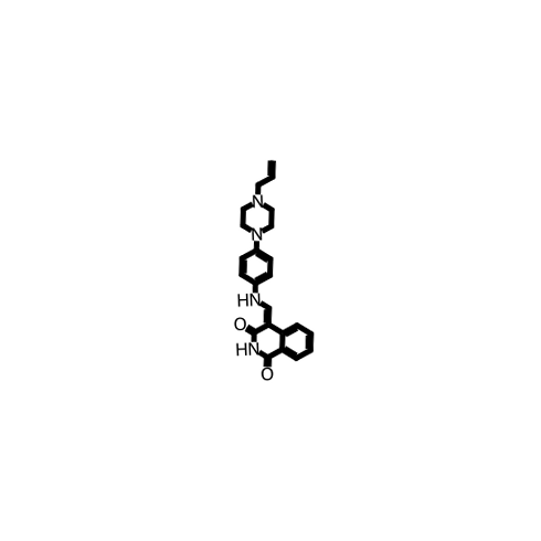 C=CCN1CCN(c2ccc(NC=C3C(=O)NC(=O)c4ccccc43)cc2)CC1